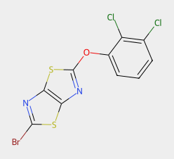 Clc1cccc(Oc2nc3sc(Br)nc3s2)c1Cl